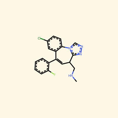 CNCC1C=C(c2ccccc2F)c2cc(Cl)ccc2-n2cnnc21